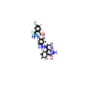 O=C(Nc1ccc(Nc2ccnc3[nH]c(=O)c4c(c23)CCCC4)cc1)c1ccc(F)cc1C(F)(F)F